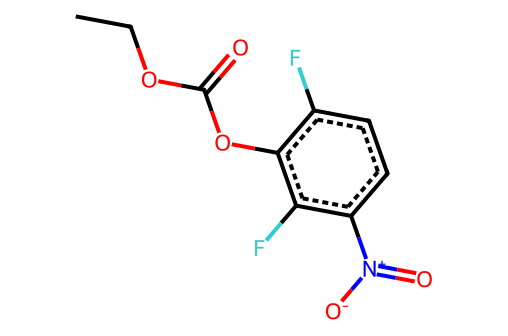 CCOC(=O)Oc1c(F)ccc([N+](=O)[O-])c1F